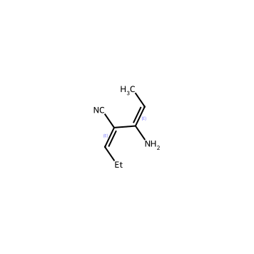 C/C=C(N)\C(C#N)=C/CC